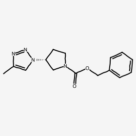 Cc1cn([C@@H]2CCN(C(=O)OCc3ccccc3)C2)nn1